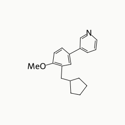 COc1ccc(-c2cccnc2)cc1CC1CCCC1